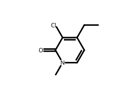 CCc1ccn(C)c(=O)c1Cl